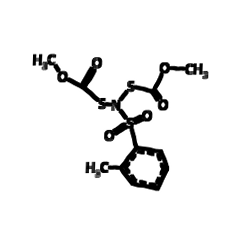 COC(=O)SN(SC(=O)OC)S(=O)(=O)c1ccccc1C